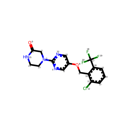 O=C1CN(c2ncc(OCc3c(Cl)cccc3C(F)(F)F)cn2)CCN1